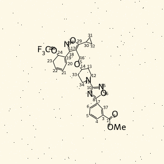 COC(=O)c1cccc(-c2nc(N3CCC(OCc4c(C5=CC=CCC5OC(F)(F)F)noc4C4CC4)CC3)no2)c1